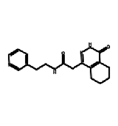 O=C(Cc1n[nH]c(=O)c2c1CCCC2)NCCc1cccnc1